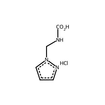 Cl.O=C(O)NCn1cccn1